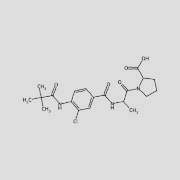 CC(NC(=O)c1ccc(NC(=O)C(C)(C)C)c(Cl)c1)C(=O)N1CCCC1C(=O)O